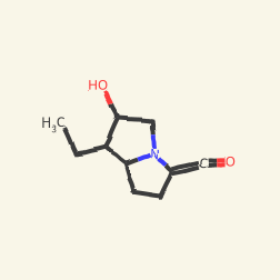 CCC1C(O)CN2C(=C=O)CCC12